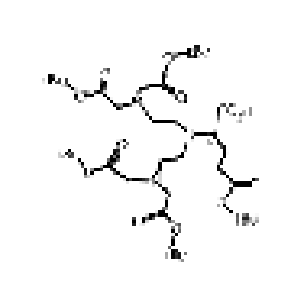 CC(C)(C)OC(=O)CC[C@@H](C(=O)O)N(CCN(CC(=O)OC(C)(C)C)CC(=O)OC(C)(C)C)CCN(CC(=O)OC(C)(C)C)CC(=O)OC(C)(C)C